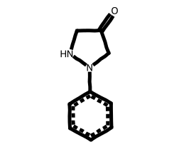 O=C1CNN(c2ccccc2)C1